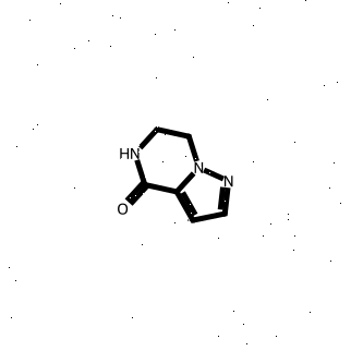 O=C1NCCn2nc[c]c21